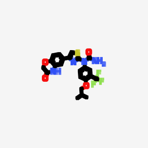 CC(C)COc1ccc(N(C(N)=O)c2nc(-c3ccc4c(c3)NC(=O)CO4)cs2)cc1C(F)(F)F